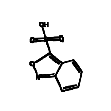 O=S(=O)(O)c1onc2ccccc12